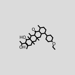 CCOC1CCC(C2CCC(C)C3C(=O)C4C(C)C5(C)C(O)C(C(C)O)=C(C)CC5(C)CC4(C)CC23)CC1